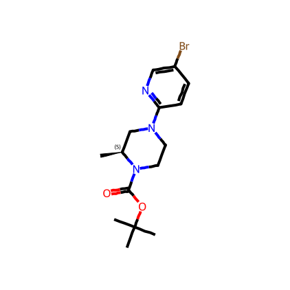 C[C@H]1CN(c2ccc(Br)cn2)CCN1C(=O)OC(C)(C)C